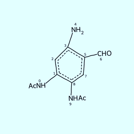 CC(=O)Nc1cc(N)c(C=O)cc1NC(C)=O